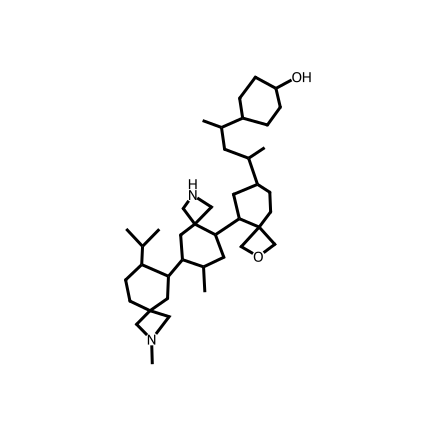 CC(C)C1CCC2(CC1C1CC3(CNC3)C(C3CC(C(C)CC(C)C4CCC(O)CC4)CCC34COC4)CC1C)CN(C)C2